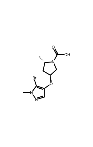 C[C@H]1C[C@H](Oc2cnn(C)c2Br)CN1C(=O)O